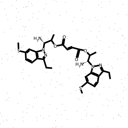 CCc1nn([C@H](N)C(C)OC(=O)/C=C/C(=O)OC(C)[C@@H](N)n2nc(CC)c3ccc(SC)cc32)c2cc(SC)ccc12